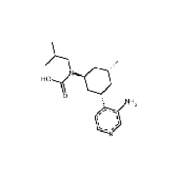 CC(C)CN(C(=O)O)[C@H]1C[C@H](C)C[C@H](c2ccncc2N)C1